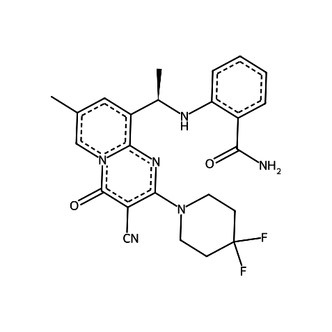 Cc1cc([C@@H](C)Nc2ccccc2C(N)=O)c2nc(N3CCC(F)(F)CC3)c(C#N)c(=O)n2c1